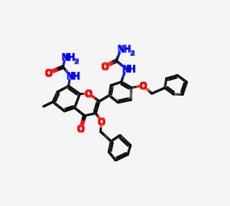 Cc1cc(NC(N)=O)c2oc(-c3ccc(OCc4ccccc4)c(NC(N)=O)c3)c(OCc3ccccc3)c(=O)c2c1